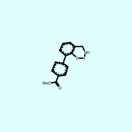 COC(=O)c1ccc(-c2cccc3c2OSNC3)cc1